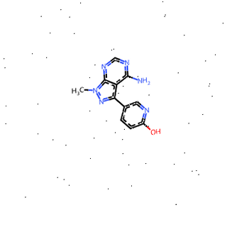 Cn1nc(-c2ccc(O)nc2)c2c(N)ncnc21